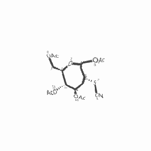 CC(=O)OC[C@H]1OC(OC(C)=O)[C@H](SC#N)[C@@H](OC(C)=O)[C@@H]1OC(C)=O